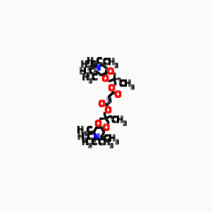 CCC1(COC(=O)/C=C/C(=O)OCC2(CC)COC3(CC(C)(C)N(C)C(C)(C)C3)OC2)COC2(CC(C)(C)N(C)C(C)(C)C2)OC1